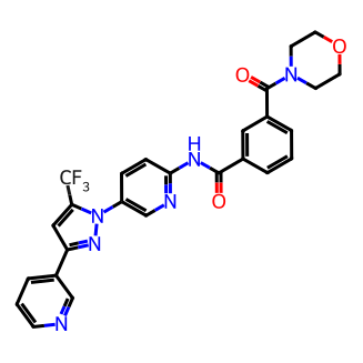 O=C(Nc1ccc(-n2nc(-c3cccnc3)cc2C(F)(F)F)cn1)c1cccc(C(=O)N2CCOCC2)c1